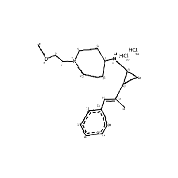 COCCN1CCC(NC2CC2C(C)=Cc2ccccc2)CC1.Cl.Cl